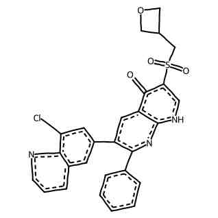 O=c1c(S(=O)(=O)CC2COC2)c[nH]c2nc(-c3ccccc3)c(-c3cc(Cl)c4ncccc4c3)cc12